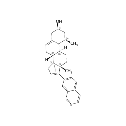 C[C@@H]1C[C@H](O)CC2=CC[C@@H]3[C@H](CC[C@]4(C)C(c5ccc6ccncc6c5)=CC[C@@H]34)C21